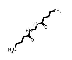 CCCCC(=O)NCNC(=O)CCCC